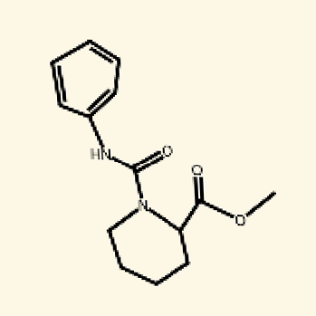 COC(=O)C1CCCCN1C(=O)Nc1ccccc1